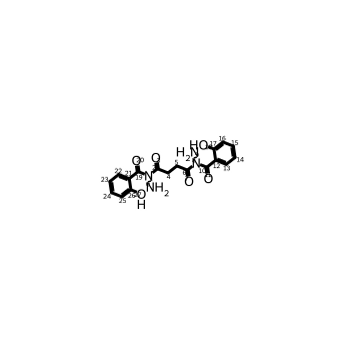 NN(C(=O)CCC(=O)N(N)C(=O)c1ccccc1O)C(=O)c1ccccc1O